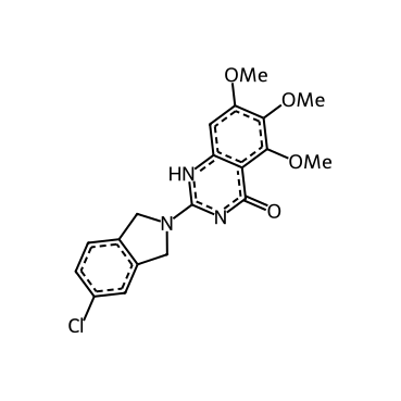 COc1cc2[nH]c(N3Cc4ccc(Cl)cc4C3)nc(=O)c2c(OC)c1OC